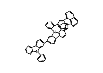 c1ccc(-n2c3ccccc3c3ccc(-c4ccc5c6ccc7ccccc7c6n(-c6ccccc6-c6ccc7c(c6)-c6cccc8cccc-7c68)c5c4)cc32)cc1